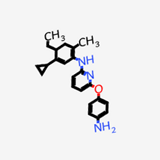 CCC1CC(C)=C(Nc2cccc(Oc3ccc(N)cc3)n2)C=C1C1CC1